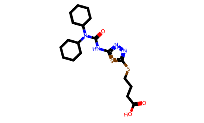 O=C(O)CCCSc1nnc(NC(=O)N(C2CCCCC2)C2CCCCC2)s1